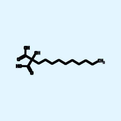 CCCCCCCCCCC(O)(C(=O)O)C(=O)O